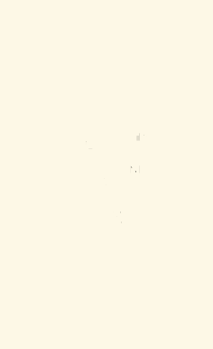 CC(C)NS(=O)(=O)F